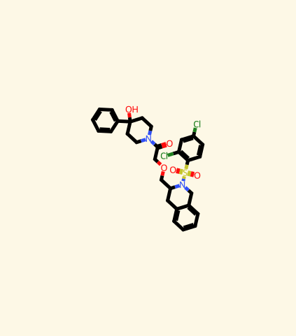 O=C(COCC1Cc2ccccc2CN1S(=O)(=O)c1ccc(Cl)cc1Cl)N1CCC(O)(c2ccccc2)CC1